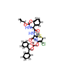 C=CCOC(=O)NC(C(=O)NC1C(=O)N2C(OC(=O)OC(c3ccccc3)c3ccccc3)=C(Cl)CS[C@@H]12)c1ccccc1